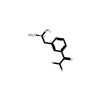 N[C@@H](Cc1cccc(C(=O)C(F)F)c1)C(=O)O